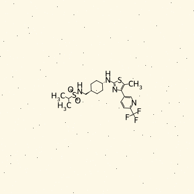 Cc1sc(N[C@H]2CC[C@H](CNS(=O)(=O)C(C)C)CC2)nc1-c1ccc(C(F)(F)F)nc1